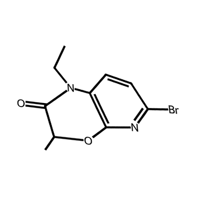 CCN1C(=O)C(C)Oc2nc(Br)ccc21